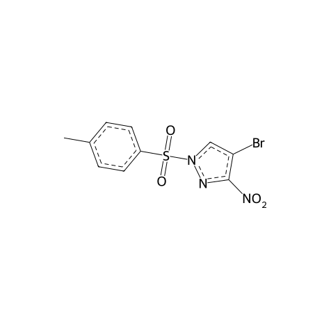 Cc1ccc(S(=O)(=O)n2cc(Br)c([N+](=O)[O-])n2)cc1